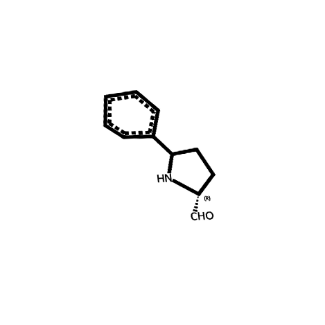 O=C[C@H]1CCC(c2ccccc2)N1